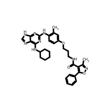 Cc1cc(OCCCNC(=O)c2c(C)noc2-c2ccccc2)ccc1Nc1nc(NC2CCCCC2)c2nc[nH]c2n1